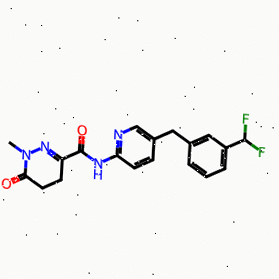 CN1N=C(C(=O)Nc2ccc(Cc3cccc(C(F)F)c3)cn2)CCC1=O